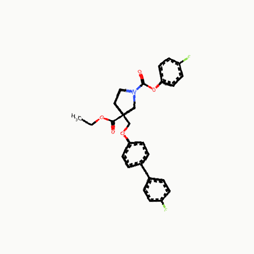 CCOC(=O)C1(COc2ccc(-c3ccc(F)cc3)cc2)CCN(C(=O)Oc2ccc(F)cc2)C1